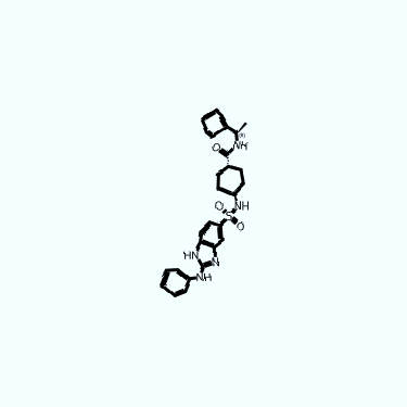 C[C@@H](NC(=O)[C@H]1CC[C@H](NS(=O)(=O)c2ccc3[nH]c(Nc4ccccc4)nc3c2)CC1)c1ccccc1